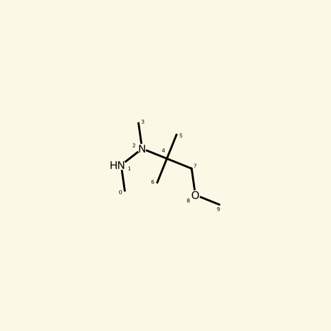 CNN(C)C(C)(C)COC